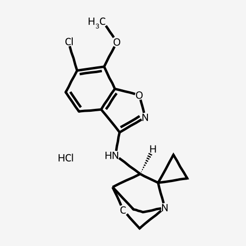 COc1c(Cl)ccc2c(N[C@@H]3C4CCN(CC4)C34CC4)noc12.Cl